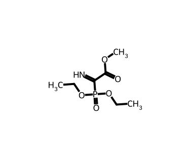 CCOP(=O)(OCC)C(=N)C(=O)OC